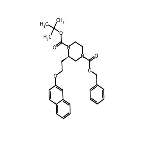 CC(C)(C)OC(=O)N1CCN(C(=O)OCc2ccccc2)C[C@H]1CCOc1ccc2ccccc2c1